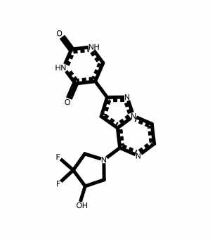 O=c1[nH]cc(-c2cc3c(N4CC(O)C(F)(F)C4)nccn3n2)c(=O)[nH]1